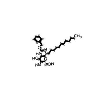 CCCCCCCCCCCCN[C@@H]1O[C@H](CO)[C@H](O)[C@H](O)[C@@H]1NC(=O)OCc1ccccc1